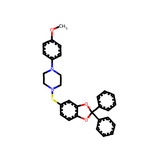 COc1ccc(N2CCN(Sc3ccc4c(c3)OC(c3ccccc3)(c3ccccc3)O4)CC2)cc1